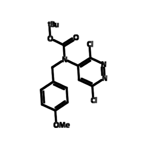 COc1ccc(CN(C(=O)OC(C)(C)C)c2cc(Cl)nnc2Cl)cc1